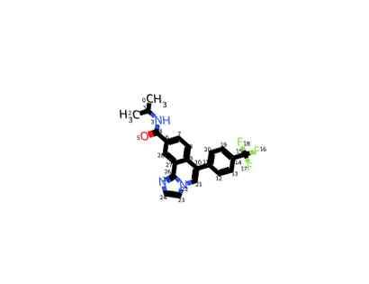 CC(C)NC(=O)c1ccc2c(-c3ccc(C(F)(F)F)cc3)cn3ccnc3c2c1